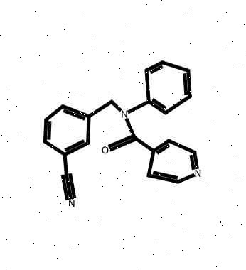 N#Cc1cccc(CN(C(=O)c2ccncc2)c2ccccc2)c1